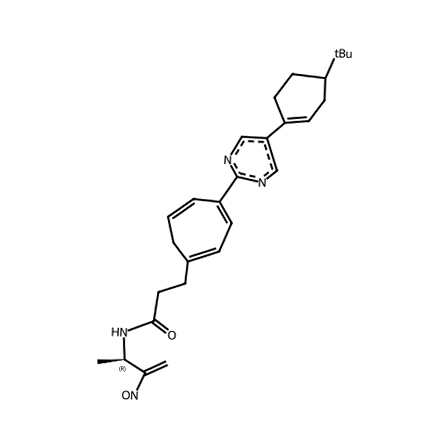 C=C(N=O)[C@@H](C)NC(=O)CCC1=CC=C(c2ncc(C3=CCC(C(C)(C)C)CC3)cn2)C=CC1